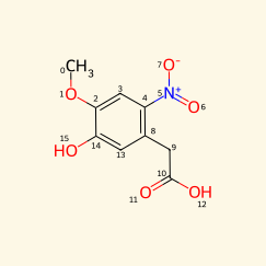 COc1cc([N+](=O)[O-])c(CC(=O)O)cc1O